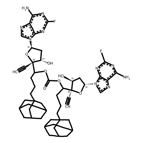 C#C[C@@]1(C(CCCC23CC4CC(CC(C4)C2)C3)OC(=O)OC(CCCC23CC4CC(CC(C4)C2)C3)[C@]2(C#C)O[C@@H](n3cnc4c(N)nc(F)nc43)C[C@@H]2O)O[C@@H](n2cnc3c(N)nc(F)nc32)C[C@@H]1O